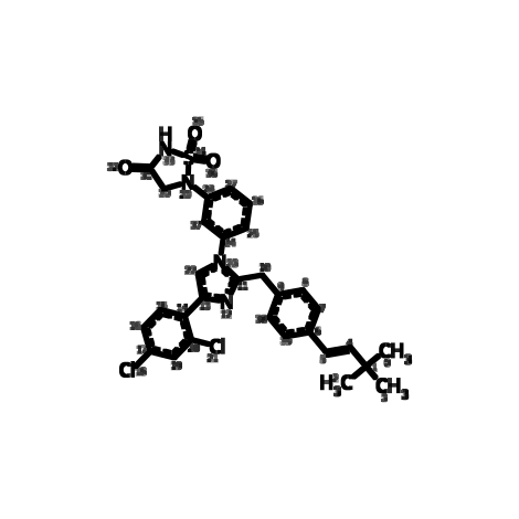 CC(C)(C)/C=C/c1ccc(Cc2nc(-c3ccc(Cl)cc3Cl)cn2-c2cccc(N3CC(=O)NS3(=O)=O)c2)cc1